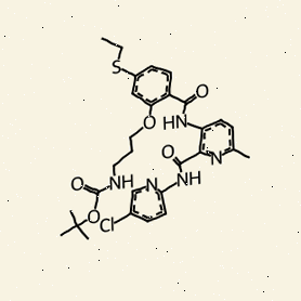 CCSc1ccc(C(=O)Nc2ccc(C)nc2C(=O)Nc2ccc(Cl)cn2)c(OCCCNC(=O)OC(C)(C)C)c1